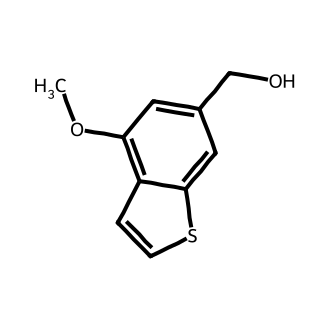 COc1cc(CO)cc2sccc12